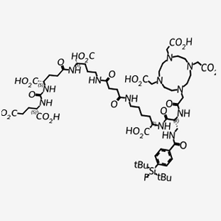 CC(C)(C)[Si](F)(c1ccc(C(=O)NC[C@@H](NC(=O)CN2CCN(CC(=O)O)CCN(CC(=O)O)CCN(CC(=O)O)CC2)C(=O)N[C@H](CCCCNC(=O)CCC(=O)NCCC[C@H](NC(=O)CC[C@H](NC(=O)N[C@@H](CCC(=O)O)C(=O)O)C(=O)O)C(=O)O)C(=O)O)cc1)C(C)(C)C